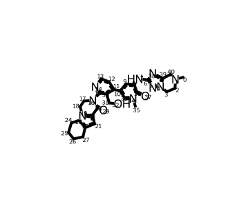 CN1CCn2nc(Nc3cc(-c4ccnc(N5CCn6c(cc7c6CCCC7)C5=O)c4CO)cn(C)c3=O)nc2C1